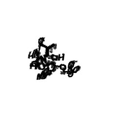 Cc1cn(C2(O)OC[C@H](OCP(=O)([O-])[O-])[C@H]2O)c(=O)[nH]c1=O.[Na+].[Na+]